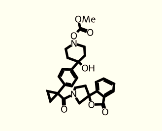 COC(=O)ON1CCC(O)(c2ccc(C3(C(=O)N4CCC5(C4)OC(=O)c4ccccc45)CC3)cc2)CC1